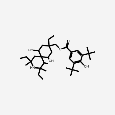 CCC1(COC(=O)c2cc(C(C)(C)C)c(O)c(C(C)(C)C)c2)CC(O)C2(CC(C)(CC)NC(C)(CC)C2C)C(O)C1